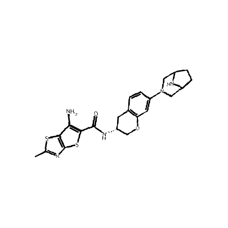 Cc1nc2sc(C(=O)N[C@H]3COc4cc(N5CC6CCC(C5)N6)ccc4C3)c(N)c2s1